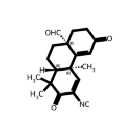 [C-]#[N+]C1=C[C@]2(C)C3=CC(=O)CC[C@]3(C=O)CC[C@H]2C(C)(C)C1=O